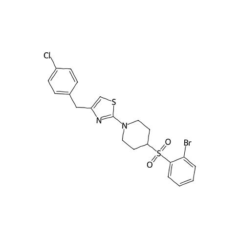 O=S(=O)(c1ccccc1Br)C1CCN(c2nc(Cc3ccc(Cl)cc3)cs2)CC1